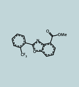 COC(=O)c1cccc2oc(-c3ccccc3C(F)(F)F)nc12